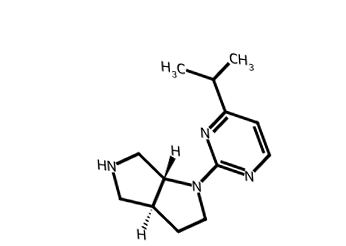 CC(C)c1ccnc(N2CC[C@H]3CNC[C@@H]32)n1